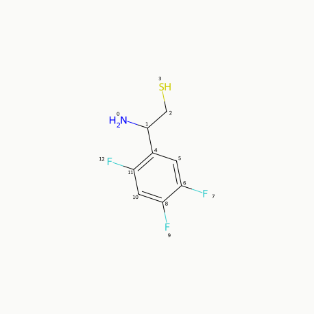 NC(CS)c1cc(F)c(F)cc1F